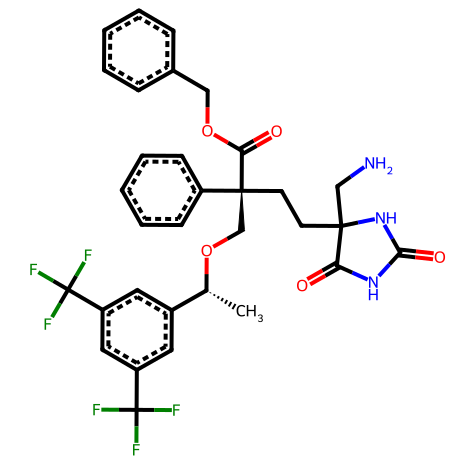 C[C@@H](OC[C@](CCC1(CN)NC(=O)NC1=O)(C(=O)OCc1ccccc1)c1ccccc1)c1cc(C(F)(F)F)cc(C(F)(F)F)c1